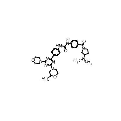 CC1CN(c2nc(-c3ccc(NC(=O)Nc4ccc(C(=O)N5CCC(N(C)C)C5)cc4)cc3)nc(N3CCOCC3)n2)CCO1